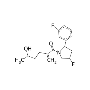 C=C(CCC(C)O)C(=O)N1CC(F)CC1c1cccc(F)c1